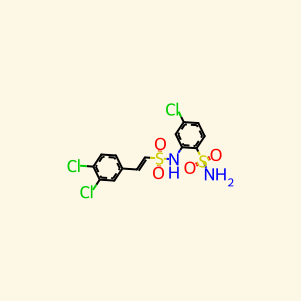 NS(=O)(=O)c1ccc(Cl)cc1NS(=O)(=O)C=Cc1ccc(Cl)c(Cl)c1